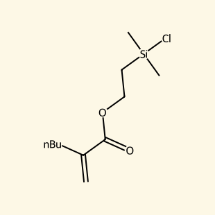 C=C(CCCC)C(=O)OCC[Si](C)(C)Cl